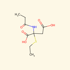 CCSC(CC(=O)O)(NC(=O)CC)C(=O)O